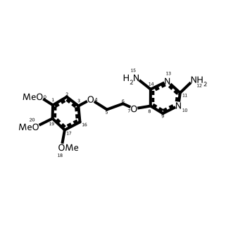 COc1cc(OCCOc2cnc(N)nc2N)cc(OC)c1OC